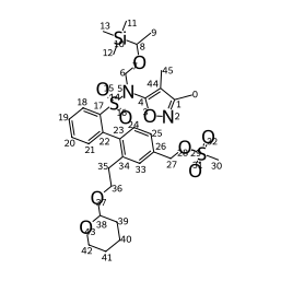 Cc1noc(N(COC(C)[Si](C)(C)C)S(=O)(=O)c2ccccc2-c2ccc(COS(C)(=O)=O)cc2CCOC2CCCCO2)c1C